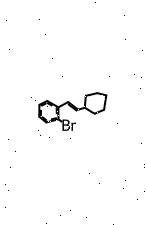 Brc1ccccc1C=CC1CCCCC1